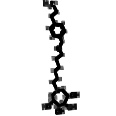 CCCc1ccc(COCCCCCCN2C[C@H](O)[C@@H](O)[C@H](O)[C@@H](O)C2)cc1